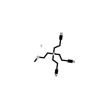 COCC[P+](CCC#N)(CCC#N)CCC#N.[I-]